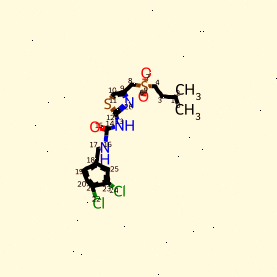 CC(C)CCS(=O)(=O)Cc1csc(NC(=O)NCc2ccc(Cl)c(Cl)c2)n1